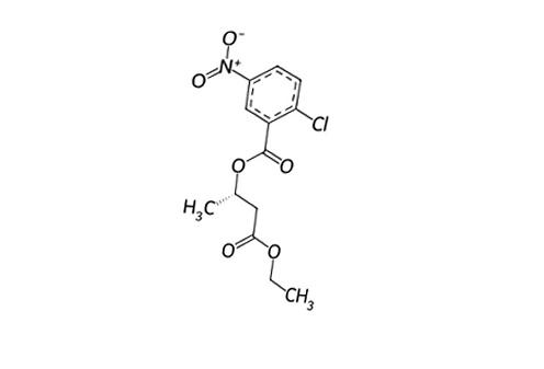 CCOC(=O)C[C@H](C)OC(=O)c1cc([N+](=O)[O-])ccc1Cl